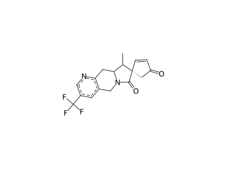 CC1C2Cc3ncc(C(F)(F)F)cc3CN2C(=O)[C@]12C=CC(=O)C2